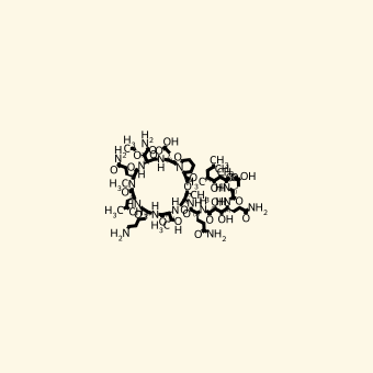 CCO[C@H](C(N)=O)[C@@H]1NC(=O)[C@H](CCC(N)=O)N(C)C(=O)[C@H](CC(C)C)NC(=O)[C@@H](CCCCN)NC(=O)[C@@H]([C@@H](C)O)NC(=O)[C@H](NC(=O)[C@H](CCC(N)=O)NC(=O)[C@H](O)C(O)[C@H](CCC(N)=O)NC(=O)[C@@H](CC(=O)O)NC(=O)[C@H](C)C(O)[C@H](C)CC(C)C)[C@@H](C)OC(=O)C2CCCCN2C(=O)[C@@H](CC(=O)O)NC1=O